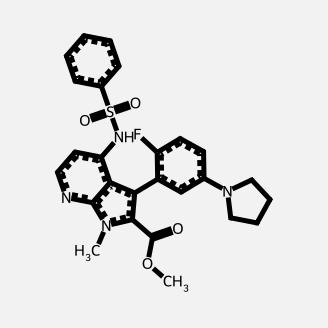 COC(=O)c1c(-c2cc(N3CCCC3)ccc2F)c2c(NS(=O)(=O)c3ccccc3)ccnc2n1C